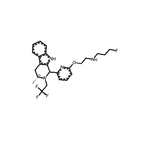 C[C@@H]1Cc2c([nH]c3ccccc23)C(c2cccc(OCCNCCCF)n2)N1CC(F)(F)F